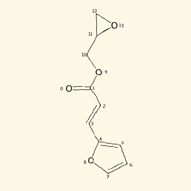 O=C(/C=C/c1ccco1)OCC1CO1